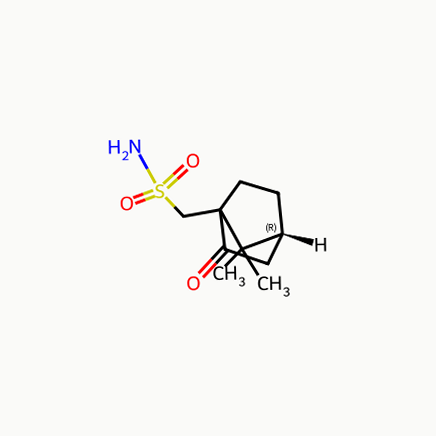 CC1(C)[C@@H]2CCC1(CS(N)(=O)=O)C(=O)C2